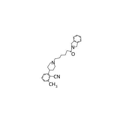 Cc1cccc(C2CCN(CCCCCC(=O)N3Cc4ccccc4C3)CC2)c1C#N